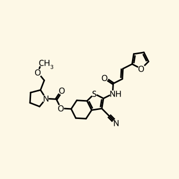 COCC1CCCN1C(=O)OC1CCc2c(sc(NC(=O)C=Cc3ccco3)c2C#N)C1